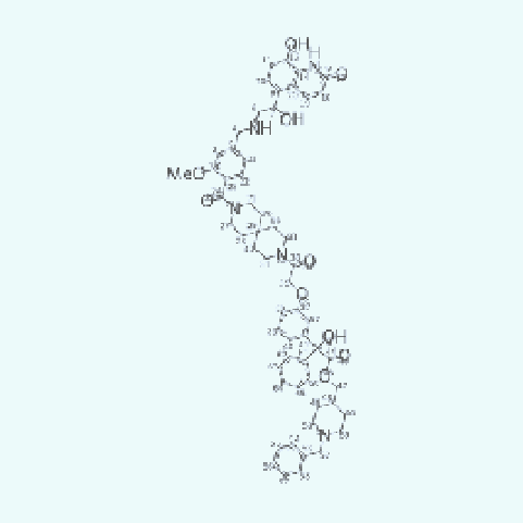 COc1cc(CNCC(O)c2ccc(O)c3[nH]c(=O)ccc23)ccc1C(=O)N1CCC2(CCN(C(=O)COc3cccc(C(O)(C(=O)OCC4CCN(Cc5ccccc5)CC4)c4ccccc4)c3)CC2)CC1